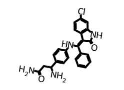 NC(=O)CC(N)c1ccc(NC(=C2C(=O)Nc3cc(Cl)ccc32)c2ccccc2)cc1